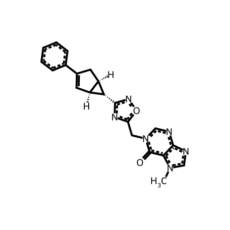 Cn1cnc2ncn(Cc3nc([C@@H]4[C@H]5C=C(c6ccccc6)C[C@H]54)no3)c(=O)c21